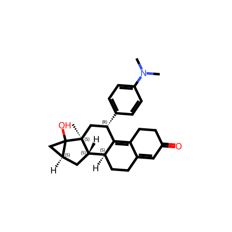 CN(C)c1ccc([C@H]2C[C@@]3(C)[C@@H](C[C@H]4CC43O)[C@@H]3CCC4=CC(=O)CCC4=C32)cc1